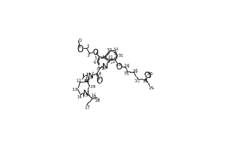 COCCOc1cc(C(=O)N[C@@H]2CCCN(C(C)C)C2)nc2c(OCCCCC(C)=O)cccc12